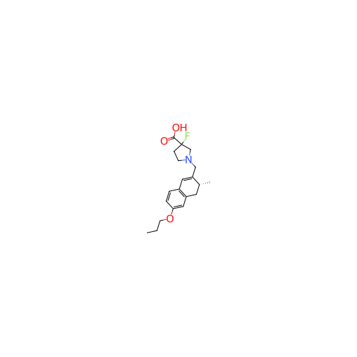 CCCOc1ccc2c(c1)C[C@@H](C)C(CN1CCC(F)(C(=O)O)C1)=C2